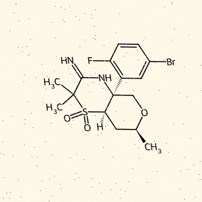 C[C@H]1C[C@@H]2[C@](c3cc(Br)ccc3F)(CO1)NC(=N)C(C)(C)S2(=O)=O